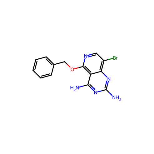 Nc1nc(N)c2c(OCc3ccccc3)ncc(Br)c2n1